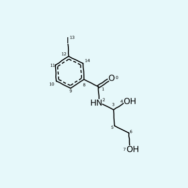 O=C(NC(O)CCO)c1cccc(I)c1